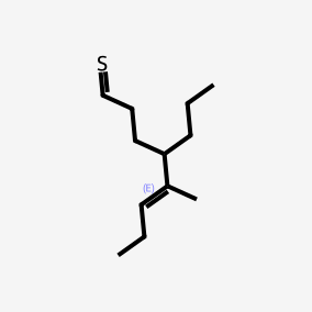 CC/C=C(\C)C(CCC)CCC=S